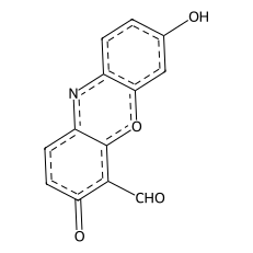 O=Cc1c2oc3cc(O)ccc3nc-2ccc1=O